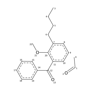 CC=O.CCCCc1cccc(C(=O)c2ccccc2)c1OC